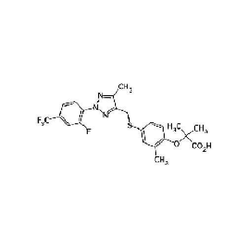 Cc1cc(SCc2nn(-c3ccc(C(F)(F)F)cc3F)nc2C)ccc1OC(C)(C)C(=O)O